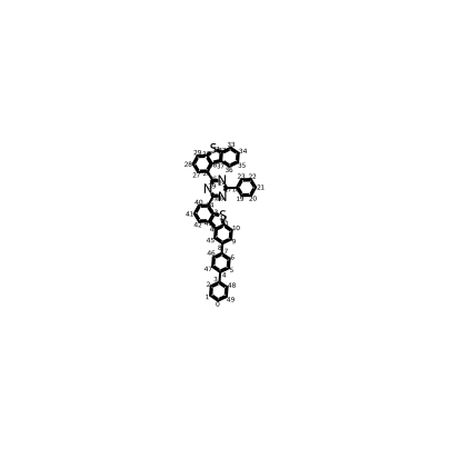 c1ccc(-c2ccc(-c3ccc4sc5c(-c6nc(-c7ccccc7)nc(-c7cccc8sc9ccccc9c78)n6)cccc5c4c3)cc2)cc1